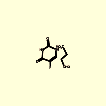 O=CCCC(=O)O.O=c1[nH]cc(F)c(=O)[nH]1